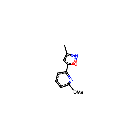 COc1cccc(-c2cc(C)no2)n1